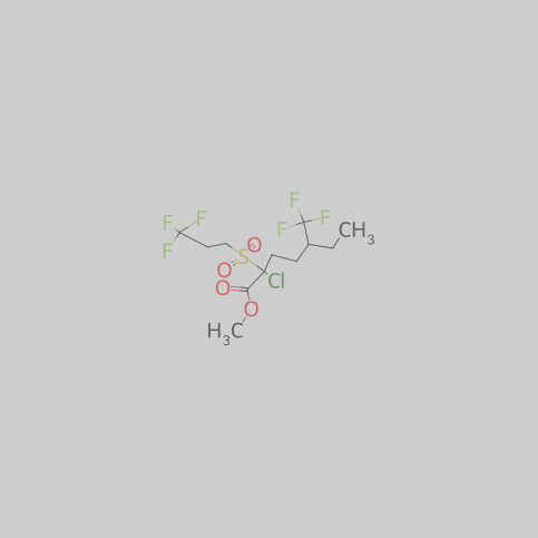 CCC(CCC(Cl)(C(=O)OC)S(=O)(=O)CCC(F)(F)F)C(F)(F)F